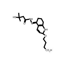 CC(C)(S)CC(=O)NN=C1CCCC2=C1C=CC(OCCCC(=O)O)N2